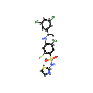 CC(Nc1cc(F)c(S(=O)(=O)Nc2nccs2)cc1Cl)c1cc(Cl)cc(Cl)c1